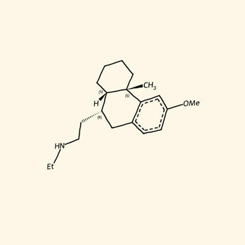 CCNCC[C@H]1Cc2ccc(OC)cc2[C@@]2(C)CCCC[C@@H]12